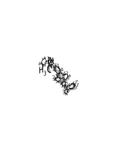 Cn1c(-c2ccccc2)nnc1-c1ccc(-c2ccccc2-c2ccccc2-c2ccc(-n3c4ccccc4c4ccccc43)cc2)cc1